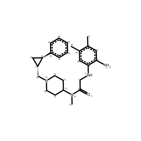 Cc1cc(N)c(NCC(=O)N(C)C2CCN(C[C@@H]3C[C@H]3c3ccccc3)CC2)cc1C